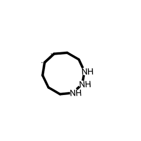 [CH]1[CH]CCNNNCCC1